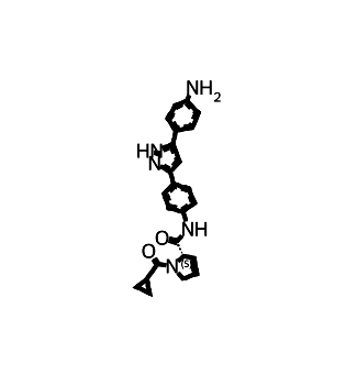 Nc1ccc(-c2cc(-c3ccc(NC(=O)[C@@H]4C=CCN4C(=O)C4CC4)cc3)n[nH]2)cc1